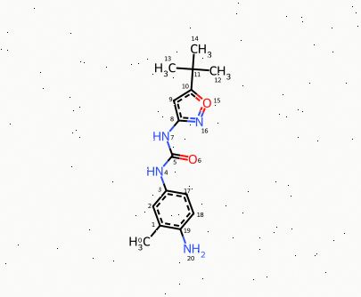 Cc1cc(NC(=O)Nc2cc(C(C)(C)C)on2)ccc1N